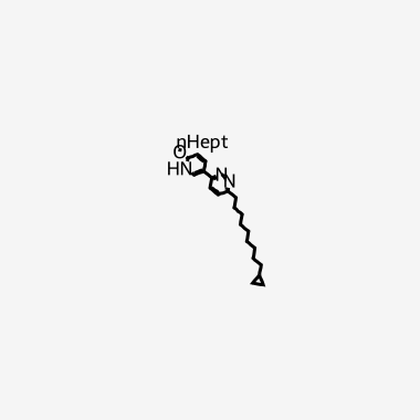 CCCCCCCOC1C=CC(c2ccc(CCCCCCCCCC3CC3)nn2)=CN1